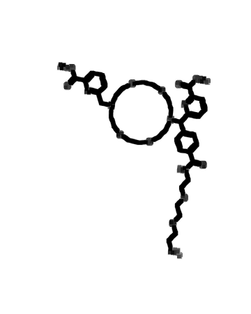 COC(=O)c1cccc(CN2CCOCCOCCN(C(c3ccc(C(=O)NCCOCCOCCN)cc3)c3cccc(C(=O)OC)n3)CCOCCOCC2)n1